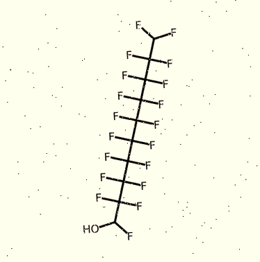 OC(F)C(F)(F)C(F)(F)C(F)(F)C(F)(F)C(F)(F)C(F)(F)C(F)(F)C(F)(F)C(F)F